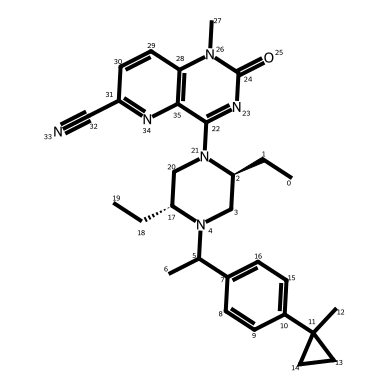 CC[C@H]1CN(C(C)c2ccc(C3(C)CC3)cc2)[C@H](CC)CN1c1nc(=O)n(C)c2ccc(C#N)nc12